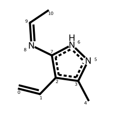 C=Cc1c(C)n[nH]c1/N=C\C